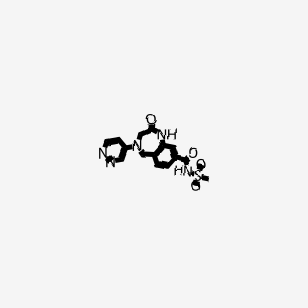 CS(=O)(=O)NC(=O)c1ccc2c(c1)NC(=O)CN(c1ccnnc1)C2